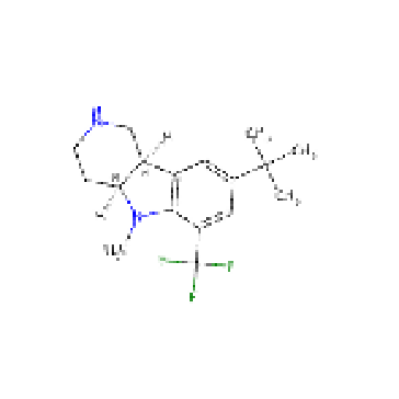 CN1c2c(cc(C(C)(C)C)cc2C(F)(F)F)[C@@H]2CNCC[C@@H]21